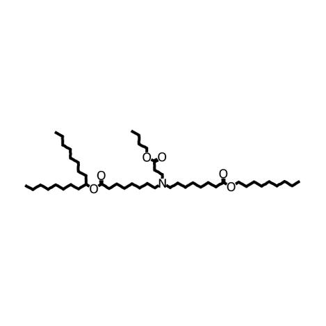 CCCCCCCCCOC(=O)CCCCCCCN(CCCCCCCC(=O)OC(CCCCCCCC)CCCCCCCC)CCC(=O)OCCCC